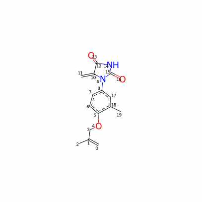 C=C(C)COc1ccc(N2C(=C)C(=O)NC2=O)cc1C